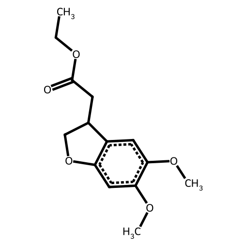 CCOC(=O)CC1COc2cc(OC)c(OC)cc21